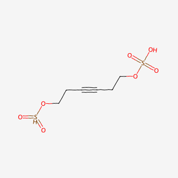 O=[SH](=O)OCCC#CCCOS(=O)(=O)O